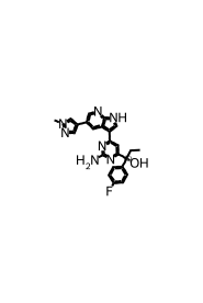 CC[C@](O)(c1ccc(F)cc1)c1cc(-c2c[nH]c3ncc(-c4cnn(C)c4)cc23)nc(N)n1